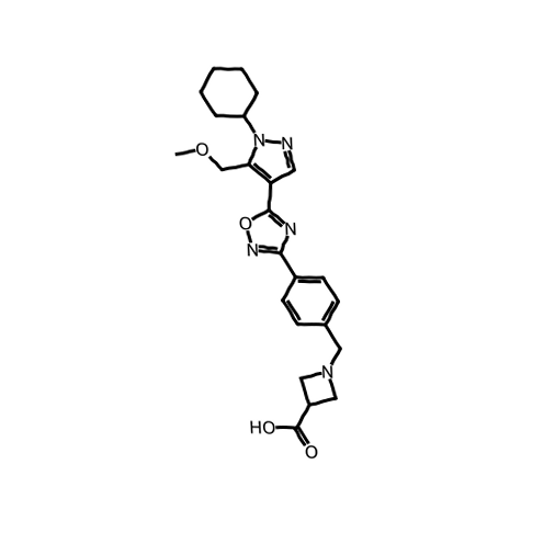 COCc1c(-c2nc(-c3ccc(CN4CC(C(=O)O)C4)cc3)no2)cnn1C1CCCCC1